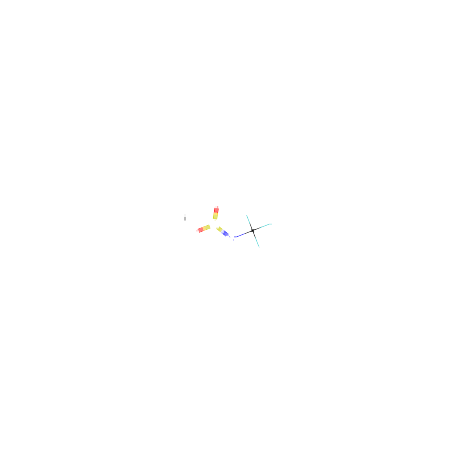 O=S(=O)=NC(F)(F)F.[LiH]